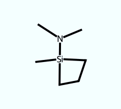 CN(C)[Si]1(C)CCC1